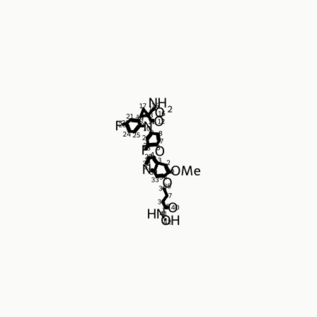 COc1cc2c(Oc3ccc(N(C(=O)C4(C(N)=O)CC4)c4ccc(F)cc4)cc3F)ccnc2cc1OCCCC(=O)NO